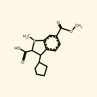 COC(=O)c1ccc2c(c1)N(C)C(C(=O)O)C2C1CCCC1